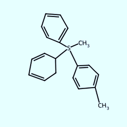 Cc1ccc(S(C)(c2ccccc2)C2C=CC=CC2)cc1